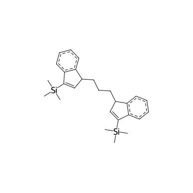 C[Si](C)(C)C1=CC(CCCC2C=C([Si](C)(C)C)c3ccccc32)c2ccccc21